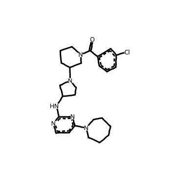 O=C(c1cccc(Cl)c1)N1CCCC(N2CCC(Nc3nccc(N4CCCCCC4)n3)C2)C1